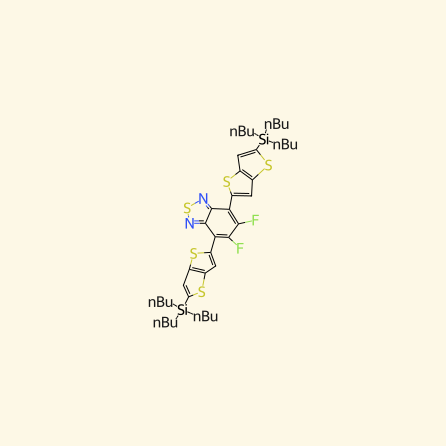 CCCC[Si](CCCC)(CCCC)c1cc2sc(-c3c(F)c(F)c(-c4cc5sc([Si](CCCC)(CCCC)CCCC)cc5s4)c4nsnc34)cc2s1